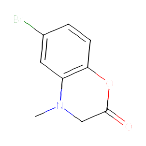 CN1CC(=O)Oc2ccc(Br)cc21